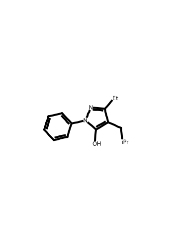 CCc1nn(-c2ccccc2)c(O)c1CC(C)C